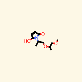 COCC(C)OCC(C)N1C(=O)C=CC1O